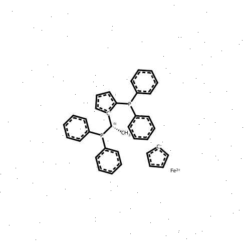 C[C@@H]([c-]1cccc1P(c1ccccc1)c1ccccc1)P(c1ccccc1)c1ccccc1.[Fe+2].c1cc[cH-]c1